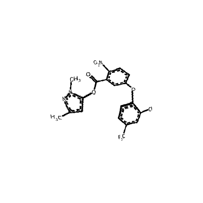 Cc1cc(OC(=O)c2cc(Oc3ccc(C(F)(F)F)cc3Cl)ccc2[N+](=O)[O-])n(C)n1